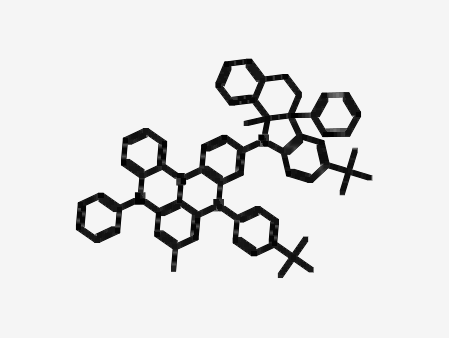 Cc1cc2c3c(c1)N(c1ccc(C(C)(C)C)cc1)c1cc(N4c5ccc(C(C)(C)C)cc5C5(c6ccccc6)CCc6ccccc6C45C)ccc1B3c1ccccc1N2c1ccccc1